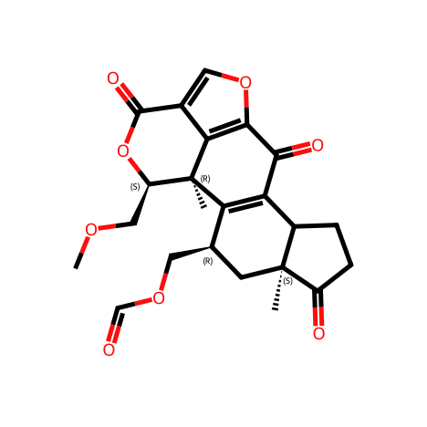 COC[C@H]1OC(=O)c2coc3c2[C@@]1(C)C1=C(C3=O)C2CCC(=O)[C@@]2(C)C[C@H]1COC=O